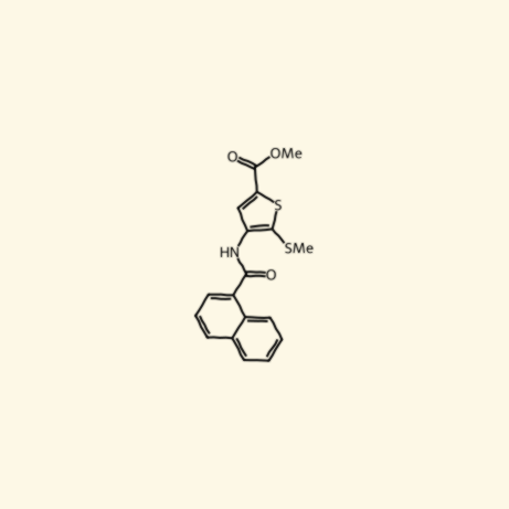 COC(=O)c1cc(NC(=O)c2cccc3ccccc23)c(SC)s1